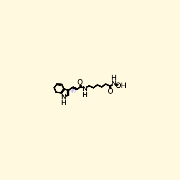 O=C(/C=C/c1c[nH]c2c1C=CCC2)NCCCCCC(=O)NO